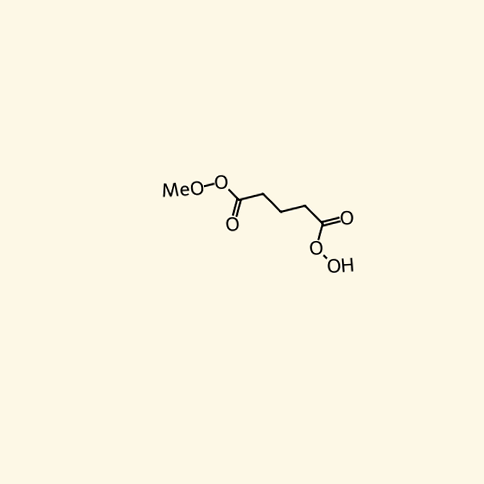 COOC(=O)CCCC(=O)OO